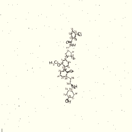 COc1cc(N2C[C@H](CNC(=O)c3ccc(Cl)s3)CC2=O)ccc1-n1cccc(CCN[C@H]2CC[C@H](O)CC2)c1=O